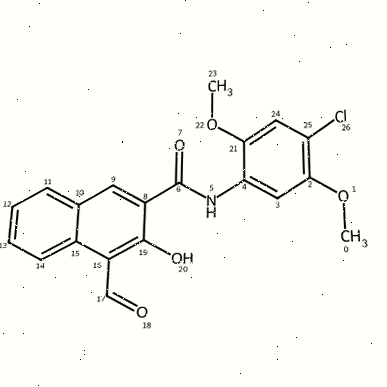 COc1cc(NC(=O)c2cc3ccccc3c(C=O)c2O)c(OC)cc1Cl